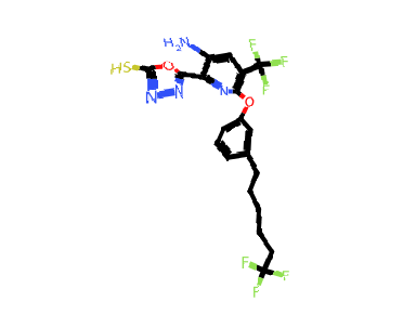 Nc1cc(C(F)(F)F)c(Oc2cccc(CCCCCC(F)(F)F)c2)nc1-c1nnc(S)o1